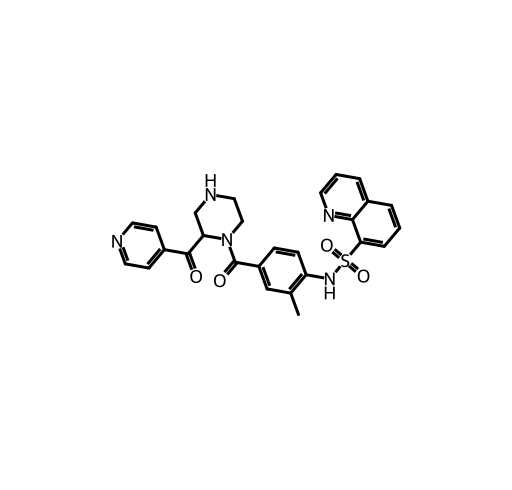 Cc1cc(C(=O)N2CCNCC2C(=O)c2ccncc2)ccc1NS(=O)(=O)c1cccc2cccnc12